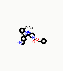 Cc1cccc(OCC(C)C)c1-n1nc2c(c1-c1ccc3[nH]ccc3c1)CN(C(=O)OCc1ccccc1)CC2